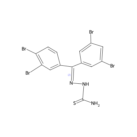 NC(=S)N/N=C(\c1cc(Br)cc(Br)c1)c1ccc(Br)c(Br)c1